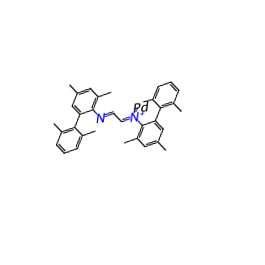 Cc1cc(C)c(N=CC=[N+]([Pd])c2c(C)cc(C)cc2-c2c(C)cccc2C)c(-c2c(C)cccc2C)c1